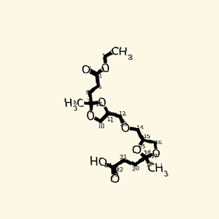 CCOC(=O)CCC1(C)OCC(COCC2COC(C)(CCC(=O)O)O2)O1